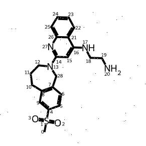 CS(=O)(=O)c1ccc2c(c1)CCCN(c1cc(NCCN)c3ccccc3n1)C2